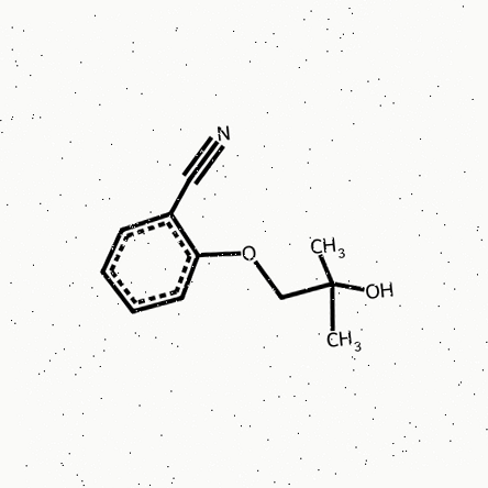 CC(C)(O)COc1ccccc1C#N